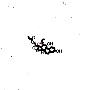 CCC(=O)OCC(=O)[C@]1(OC(=O)CC)[C@H](C)C[C@H]2c3ccc4cc(O)ccc4c3[C@@H](O)C[C@@]21C